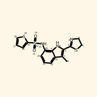 Cc1c(C2=NCCS2)[nH]c2c(NS(=O)(=O)c3cccs3)cccc12